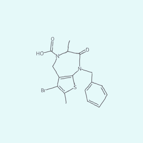 Cc1sc2c(c1Br)CN(C(=O)O)C(C)C(=O)N2Cc1ccccc1